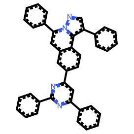 c1ccc(-c2cc(-c3ccc4c(c3)cc(-c3ccccc3)n3ncc(-c5ccccc5)c43)nc(-c3ccccc3)n2)cc1